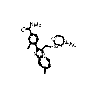 CNC(=O)c1ccc(-c2nc3cc(C)ccn3c2CC[C@H]2CN(C(C)=O)CCO2)c(C)c1